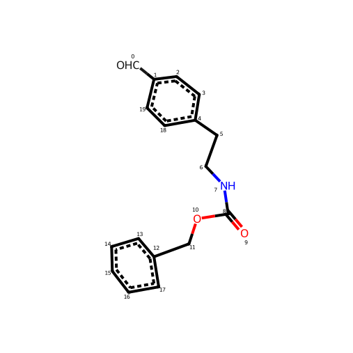 O=Cc1ccc(CCNC(=O)OCc2ccccc2)cc1